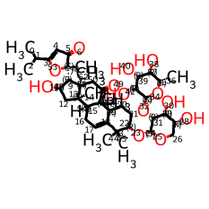 CC(C)C1=CC(=O)[C@](C)([C@H]2[C@H](O)C[C@@]3(C)[C@@H]4CC=C5[C@@H](CC[C@@H](O[C@@H]6OC[C@@H](O)[C@H](O)[C@H]6O[C@@H]6O[C@@H](C)[C@H](O)[C@@H](O)[C@H]6O)C5(C)C)[C@]4(C)C(=O)C[C@]23C)O1